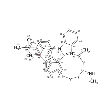 C=C1CC(NC)CCCc2ccc3c(oc4ccccc43)c2-c2n(-c3ccc(C(C)(C)C)cc3-c3ccccc3)c3ccccc3[n+]21